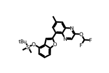 Cc1cc(-c2cc3c(O[Si](C)(C)C(C)(C)C)cccc3o2)c2ncc(OC(F)F)nc2c1